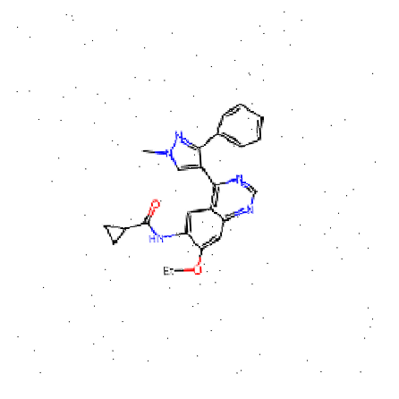 CCOc1cc2ncnc(-c3cn(C)nc3-c3ccccc3)c2cc1NC(=O)C1CC1